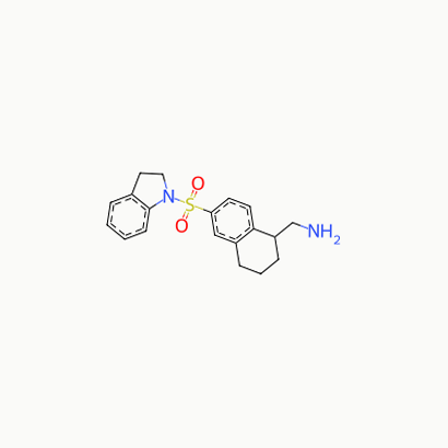 NCC1CCCc2cc(S(=O)(=O)N3CCc4ccccc43)ccc21